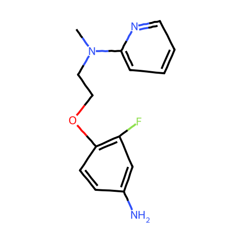 CN(CCOc1ccc(N)cc1F)c1ccccn1